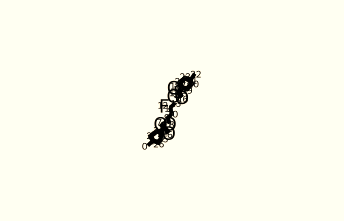 Cc1ccc(S(=O)(=O)OCCC(F)COS(=O)(=O)c2ccc(C)cc2)cc1